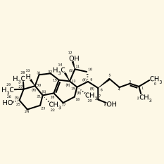 CC(C)=CCC[C@@H](CO)[C@H]1C[C@H](O)[C@@]2(C)C3=C(CC[C@]12C)[C@@]1(C)CC[C@H](O)C(C)(C)[C@@H]1CC3